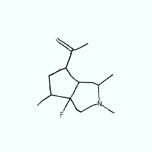 C=C(C)C1CC(C)C2(F)CN(C)C(C)C12